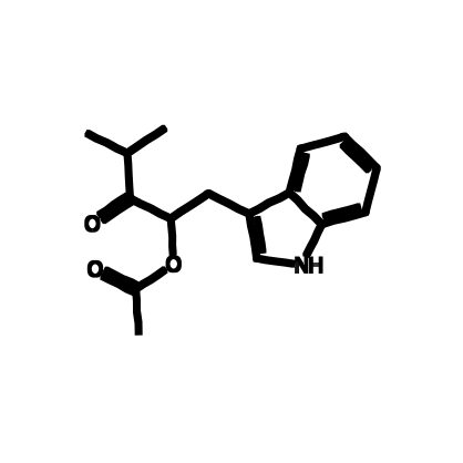 CC(=O)OC(Cc1c[nH]c2ccccc12)C(=O)C(C)C